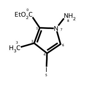 CCOC(=O)c1c(C)c(I)cn1N